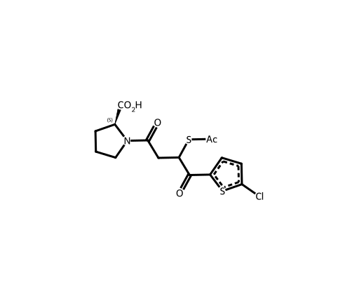 CC(=O)SC(CC(=O)N1CCC[C@H]1C(=O)O)C(=O)c1ccc(Cl)s1